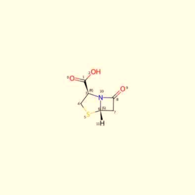 O=C(O)[C@@H]1CS[C@H]2CC(=O)N21